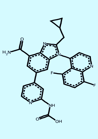 NC(=O)c1cc(-c2ccnc(NC(=O)O)c2)cc2c1nc(CC1CC1)n2-c1ccnc2c(F)ccc(F)c12